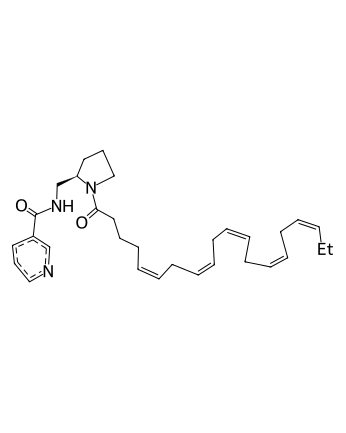 CC/C=C\C/C=C\C/C=C\C/C=C\C/C=C\CCCC(=O)N1CCC[C@@H]1CNC(=O)c1cccnc1